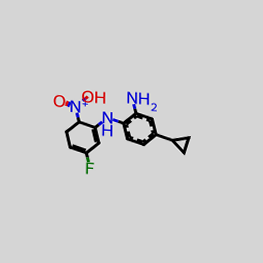 Nc1cc(C2CC2)ccc1NC1=CC(F)=CCC1[N+](=O)O